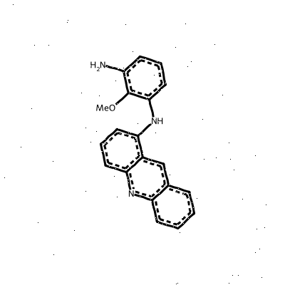 COc1c(N)cccc1Nc1cccc2nc3ccccc3cc12